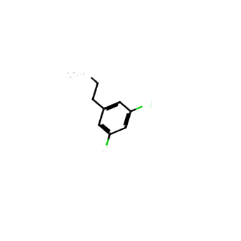 COCCc1cc(Cl)cc(Cl)c1